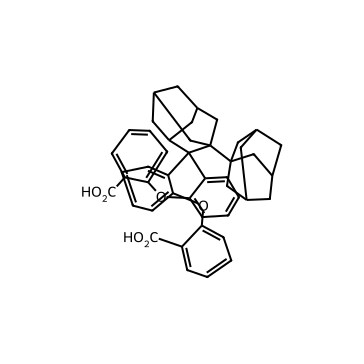 O=C(O)c1ccccc1Oc1ccccc1C1(c2ccccc2Oc2ccccc2C(=O)O)C2CC3CC(C2)CC1(C12CC4CC(CC(C4)C1)C2)C3